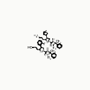 C#CCCC1=NN(C(=O)NC(C)(C)c2ccccc2)CC1c1ccccc1F.CCCCC1=NN(C(=O)NC(C)(C)c2ccccc2)CC1c1ccsc1